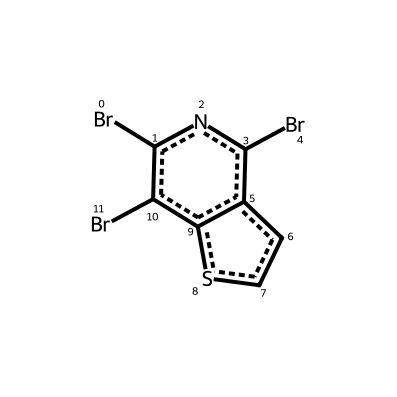 Brc1nc(Br)c2ccsc2c1Br